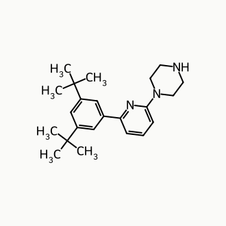 CC(C)(C)c1cc(-c2cccc(N3CCNCC3)n2)cc(C(C)(C)C)c1